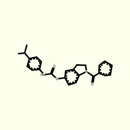 CC(C)c1ccc(NC(=O)Oc2ccc3c(c2)CCN3C(=O)c2ccccc2)cc1